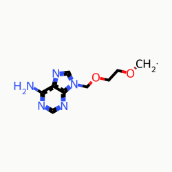 [CH2]OCCOCn1cnc2c(N)ncnc21